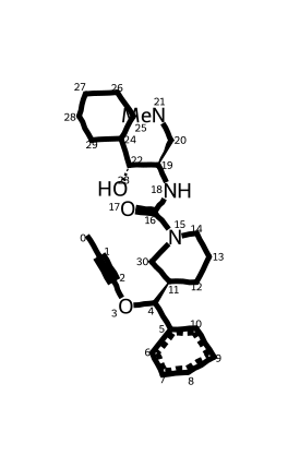 CC#COC(c1ccccc1)[C@@H]1CCCN(C(=O)N[C@H](CNC)[C@H](O)C2CCCCC2)C1